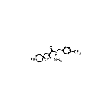 N.O=C(NCc1ccc(C(F)(F)F)cc1)C1=NOC2(CCNCC2)C1